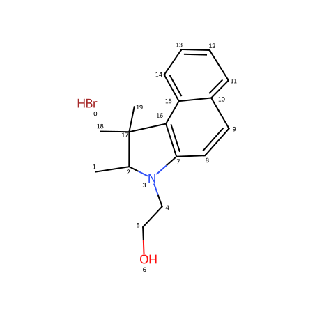 Br.CC1N(CCO)c2ccc3ccccc3c2C1(C)C